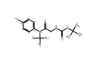 [2H]C([2H])([2H])N(C(=O)CNC(=O)OC(C)(C)C)c1ccc(F)cc1